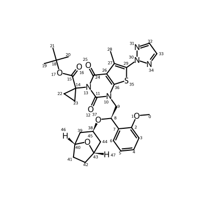 COc1ccccc1[C@H](Cn1c(=O)n(C2(C(=O)OC(C)(C)C)CC2)c(=O)c2c(C)c(-n3nccn3)sc21)O[C@@H]1C[C@H]2CC[C@@H](C1)O2